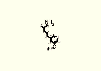 CC(CN)C/C=C/c1cncc(OC(C)C)c1